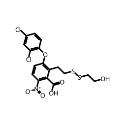 O=C(O)c1c([N+](=O)[O-])ccc(Oc2ccc(Cl)cc2Cl)c1CCSSCCO